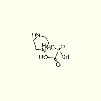 C1CNCCN1.O=C(O)P(=O)(O)O